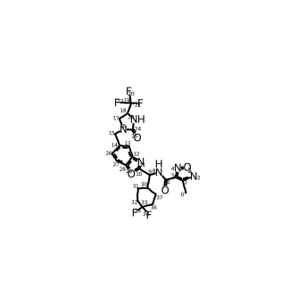 Cc1nonc1C(=O)NC(c1nc2cc(CN3CC(C(F)(F)F)NC3=O)ccc2o1)C1CCC(F)(F)CC1